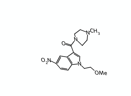 COCCn1cc(C(=O)N2CCN(C)CC2)c2cc([N+](=O)[O-])ccc21